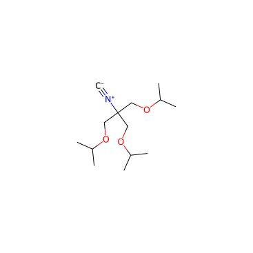 [C-]#[N+]C(COC(C)C)(COC(C)C)COC(C)C